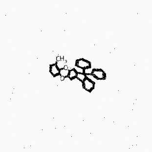 Cc1cccc2c1Oc1cc3c(cc1O2)-c1ccccc1C3(c1ccccc1)c1ccccc1